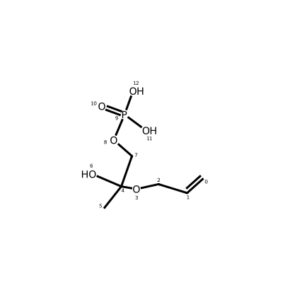 C=CCOC(C)(O)COP(=O)(O)O